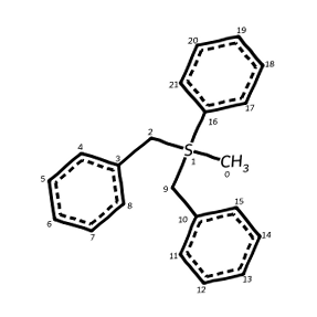 CS(Cc1ccccc1)(Cc1ccccc1)c1ccccc1